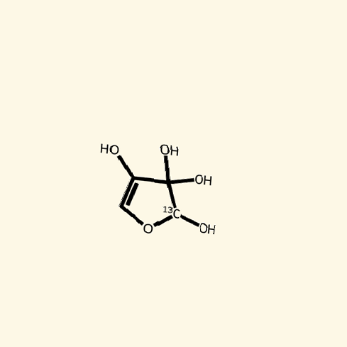 OC1=CO[13CH](O)C1(O)O